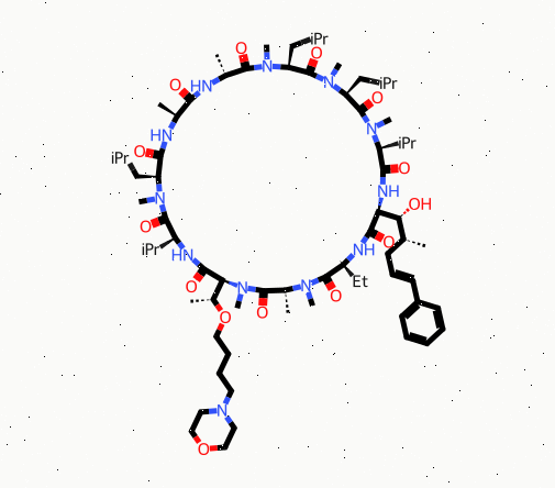 CC[C@@H]1NC(=O)[C@H]([C@H](O)[C@H](C)C/C=C/c2ccccc2)NC(=O)[C@H](C(C)C)N(C)C(=O)[C@H](CC(C)C)N(C)C(=O)[C@H](CC(C)C)N(C)C(=O)[C@@H](C)NC(=O)[C@H](C)NC(=O)[C@H](CC(C)C)N(C)C(=O)[C@H](C(C)C)NC(=O)[C@H]([C@@H](C)OCCCCN2CCOCC2)N(C)C(=O)[C@@H](C)N(C)C1=O